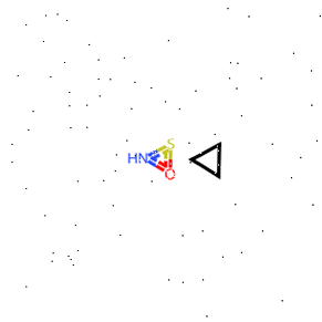 C1CC1.[nH]1os1